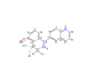 CC1(C)N=C(c2ccc3ncccc3c2)c2cccc(Br)c2C1(F)F